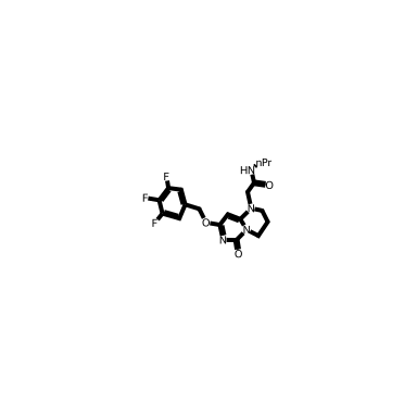 CCCNC(=O)CN1CCCn2c1cc(OCc1cc(F)c(F)c(F)c1)nc2=O